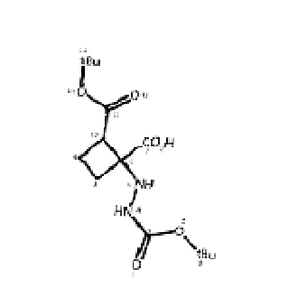 CC(C)(C)OC(=O)NNC1(C(=O)O)CCC1C(=O)OC(C)(C)C